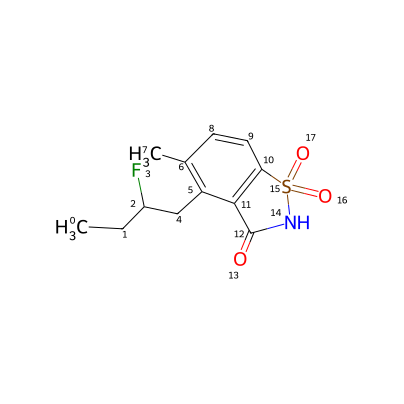 CCC(F)Cc1c(C)ccc2c1C(=O)NS2(=O)=O